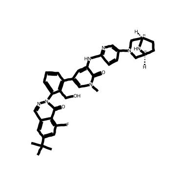 Cn1cc(-c2cccc(-n3ncc4cc(C(C)(C)C)cc(F)c4c3=O)c2CO)cc(Nc2ccc(N3C[C@H]4CC[C@@H](C3)N4)cn2)c1=O